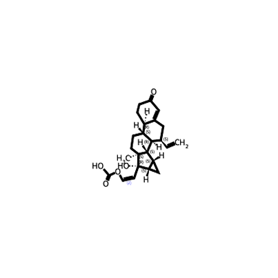 C=C[C@@H]1CC2=CC(=O)CC[C@@H]2[C@H]2CC[C@@]3(C)[C@@H]([C@@H]4C[C@@H]4[C@@]3(O)/C=C\OC(=O)O)[C@@H]21